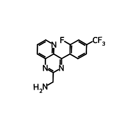 NCc1nc(-c2ccc(C(F)(F)F)cc2F)c2ncccc2n1